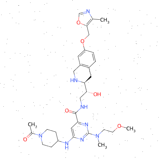 COCCN(C)c1nc(NC2CCN(C(C)=O)CC2)cc(C(=O)NC[C@@H](O)[C@@H]2Cc3ccc(OCc4ocnc4C)cc3CN2)n1